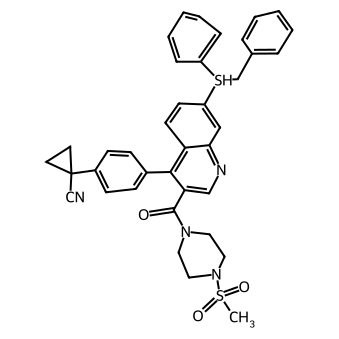 CS(=O)(=O)N1CCN(C(=O)c2cnc3cc([SH](Cc4ccccc4)c4ccccc4)ccc3c2-c2ccc(C3(C#N)CC3)cc2)CC1